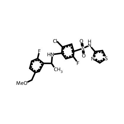 COCc1ccc(F)c(C(C)Nc2cc(F)c(S(=O)(=O)Nc3cscn3)cc2Cl)c1